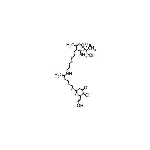 BC(OC(C)CO)C(CCCCCCCNC(=C)CCCCOC1CC(=O)[C@@H](O)C(C=CO)O1)/C(C)=C\OC